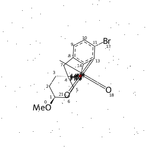 CO[C@H]1CC[C@]2(CC1)Cc1ccc(Br)cc1C21NC(=O)NC1=O